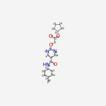 O=C(COc1ncc(C(=O)Nc2ccc(F)cc2)cn1)OC1CCCC1